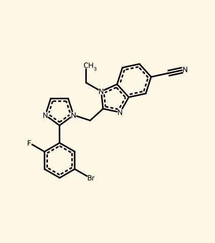 CCn1c(Cn2ccnc2-c2cc(Br)ccc2F)nc2cc(C#N)ccc21